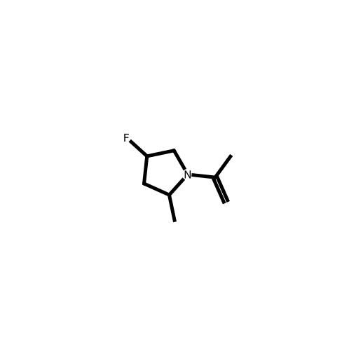 C=C(C)N1CC(F)CC1C